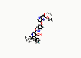 COc1cc2nccc(Oc3ccc(NC(=O)c4cnc(C(C)(C)C)c(-c5ccc(F)cc5)c4O)cc3F)c2nc1OC